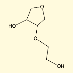 OCCOC1COCC1O